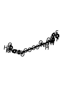 O=C(CCOCCOCCOCCOCCC(=O)N1CCN(c2ccc(NC3CCC(=O)NC3=O)cc2)CC1)NCCCNC(=O)c1cnn2ccc(N3CCC[C@@H]3c3cc(F)ccc3F)nc12